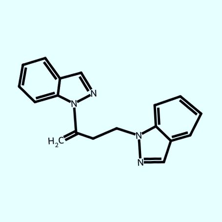 C=C(CCn1ncc2ccccc21)n1ncc2ccccc21